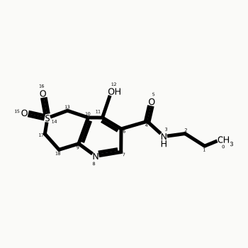 CCCNC(=O)c1cnc2c(c1O)CS(=O)(=O)CC2